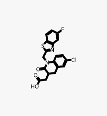 O=C(O)CC1Cc2cc(Cl)ccc2N(Cc2nc3cc(F)ccc3s2)C1=O